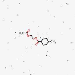 CC(=O)OCCOC(=O)C1CCC(C)CC1